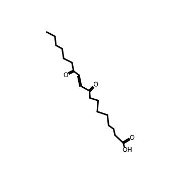 CCCCCCC(=O)C=CC(=O)CCCCCCCC(=O)O